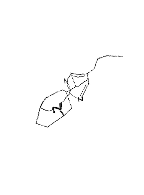 CCCc1cnc(N2C3CCC2CC(C(C)C)C3)nc1